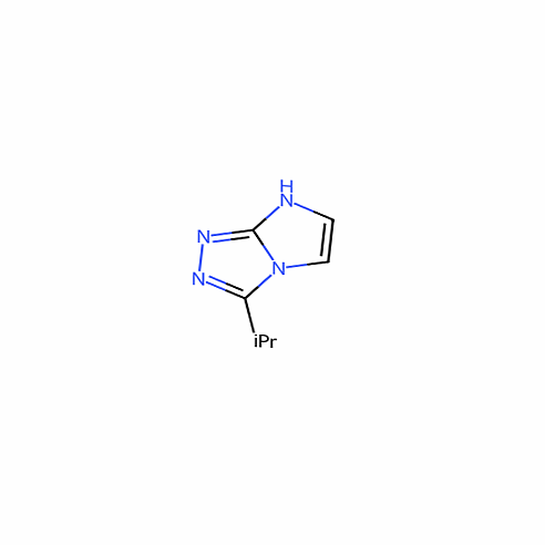 CC(C)c1nnc2[nH]ccn12